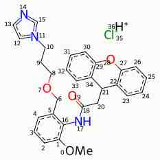 COc1cccc(COCCCn2ccnc2)c1NC(=O)CC1c2ccccc2Oc2ccccc21.[Cl-].[H+]